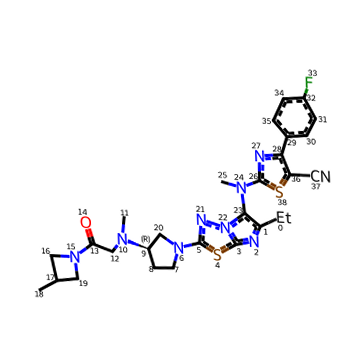 CCc1nc2sc(N3CC[C@@H](N(C)CC(=O)N4CC(C)C4)C3)nn2c1N(C)c1nc(-c2ccc(F)cc2)c(C#N)s1